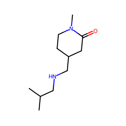 CC(C)CNCC1CCN(C)C(=O)C1